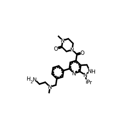 CC(C)N1NCc2c(C(=O)N3CCN(C)C(=O)C3)cc(-c3cccc(CN(C)CCN)c3)nc21